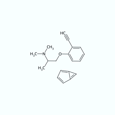 C#Cc1ccccc1OCC(C)N(C)C.c1cc2cc-2c1